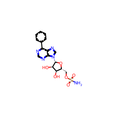 NS(=O)(=O)OC[C@H]1O[C@@H](n2cnc3c(-c4ccccc4)ncnc32)[C@H](O)[C@@H]1O